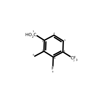 Cc1c(C(=O)O)ccc(C(F)(F)F)c1F